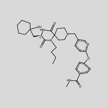 CCCCN1C(=O)[C@@H](CC2(O)CCCCC2)NC(=O)C12CCN(Cc1ccc(Oc3ccc(C(=O)NC)cc3)nc1)CC2